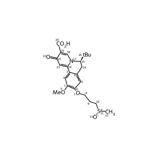 COc1cc2c(cc1OCCC[S+](C)[O-])C[C@H](C(C)(C)C)n1cc(C(=O)O)c(=O)cc1-2